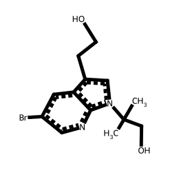 CC(C)(CO)n1cc(CCO)c2cc(Br)cnc21